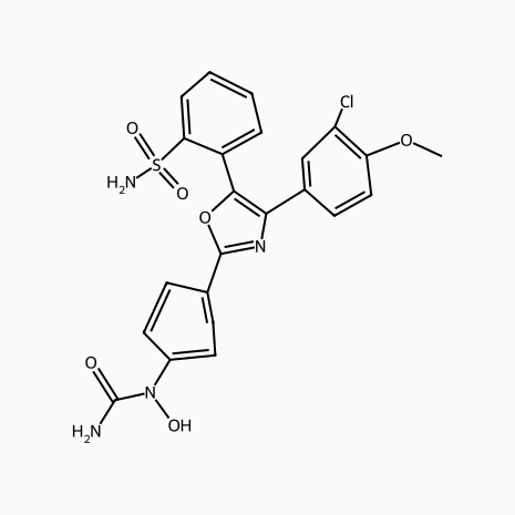 COc1ccc(-c2nc(-c3ccc(N(O)C(N)=O)cc3)oc2-c2ccccc2S(N)(=O)=O)cc1Cl